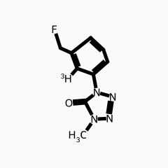 [3H]c1c(CF)cccc1-n1nnn(C)c1=O